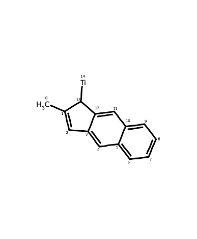 CC1=Cc2cc3ccccc3cc2[CH]1[Ti]